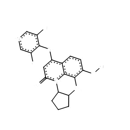 COc1ccc2c(Nc3c(Cl)cncc3Cl)cc(=O)n3c2c1OC1CCCC13